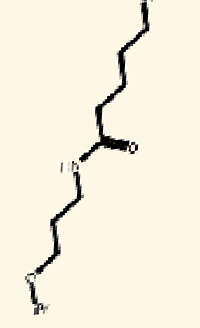 CC(C)CCCCC(=O)NCCCOC(C)C